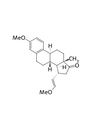 CO/C=C/[C@H]1CC(=O)[C@@]2(C)CC[C@@H]3c4ccc(OC)cc4CC[C@H]3[C@H]12